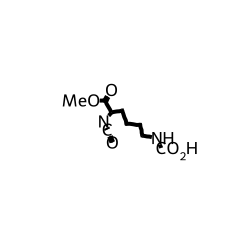 COC(=O)C(CCCCNC(=O)O)N=C=O